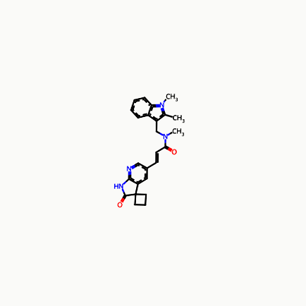 Cc1c(CN(C)C(=O)/C=C/c2cnc3c(c2)C2(CCC2)C(=O)N3)c2ccccc2n1C